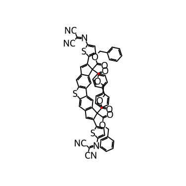 N#CC(C#N)=Nc1ccc(C2=Cc3cc4sc5cc6c(cc5c4cc3C2(C(=O)OCc2ccccc2)C(=O)OCc2ccccc2)C(C(=O)OCc2ccccc2)(C(=O)OCc2ccccc2)C(c2ccc(N=C(C#N)C#N)s2)=C6)s1